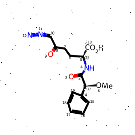 CO[C@H](C(=O)N[C@@H](CCC(=O)C=[N+]=[N-])C(=O)O)c1ccccc1